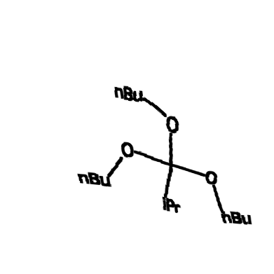 CCCCOC(OCCCC)(OCCCC)C(C)C